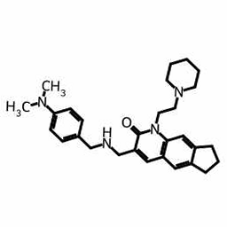 CN(C)c1ccc(CNCc2cc3cc4c(cc3n(CCN3CCCCC3)c2=O)CCC4)cc1